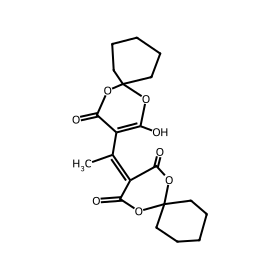 CC(C1=C(O)OC2(CCCCC2)OC1=O)=C1C(=O)OC2(CCCCC2)OC1=O